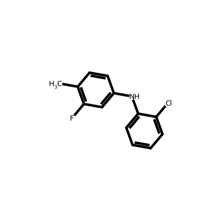 Cc1ccc(Nc2ccccc2Cl)cc1F